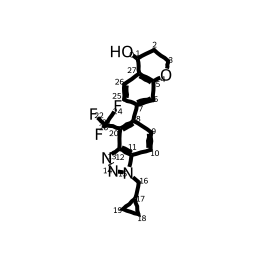 OC1CCOc2cc(-c3ccc4c(nnn4CC4CC4)c3C(F)(F)F)ccc21